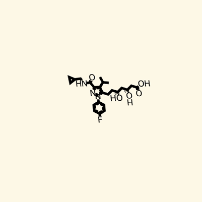 CC(C)c1c(C(=O)NCC2CC2)nn(-c2ccc(F)cc2)c1CC[C@@H](O)C[C@@H](O)CC(=O)O